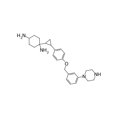 NC1CCC(N)(C2CC2c2ccc(OCc3cccc(N4CCNCC4)c3)cc2)CC1